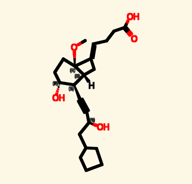 CO[C@]12CC[C@@H](O)[C@H](C#C[C@@H](O)CC3CCCC3)[C@H]1CC2=CCCC(=O)O